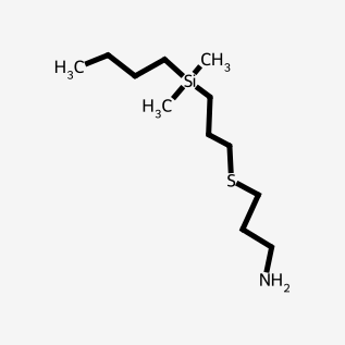 CCCC[Si](C)(C)CCCSCCCN